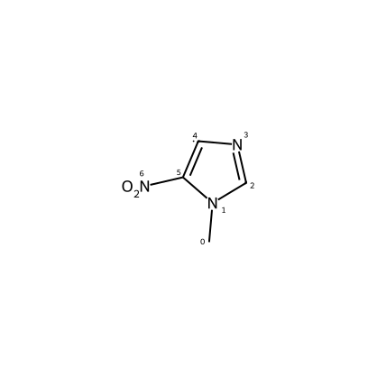 Cn1cn[c]c1[N+](=O)[O-]